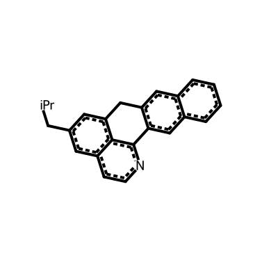 CC(C)Cc1cc2c3c(nccc3c1)-c1cc3ccccc3cc1C2